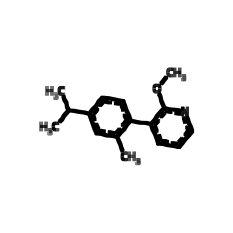 COc1ncccc1-c1ccc(C(C)C)cc1C